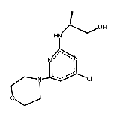 C[C@@H](CO)Nc1nc(Cl)cc(N2CCOCC2)n1